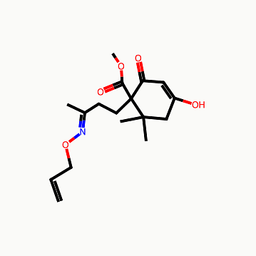 C=CCON=C(C)CCC1(C(=O)OC)C(=O)C=C(O)CC1(C)C